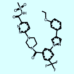 CCOc1cccc(-c2cnn(-c3cc(C(=O)N4CCN(c5ccc(C(=O)NS(C)(=O)=O)nn5)CC4)cc(C(F)(F)F)c3)c2)c1